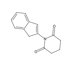 O=C1CCCC(=O)N1C1=Cc2ccccc2C1